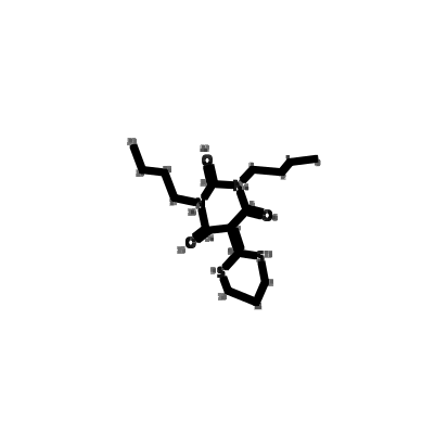 CCCCN1C(=O)C(=C2SCCCS2)C(=O)N(CCCC)C1=O